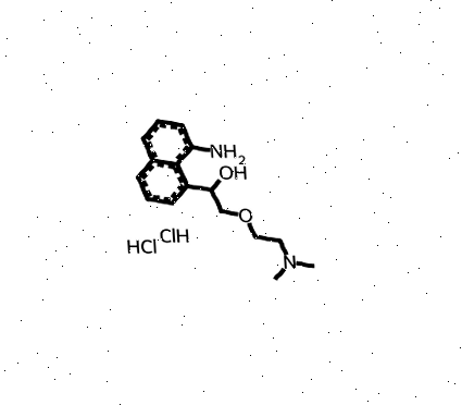 CN(C)CCOCC(O)c1cccc2cccc(N)c12.Cl.Cl